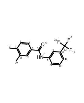 Cc1ccc(C(=O)Nc2cccc(C(F)(F)F)c2)cc1C